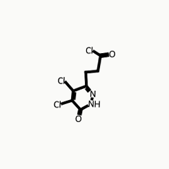 O=C(Cl)CCc1n[nH]c(=O)c(Cl)c1Cl